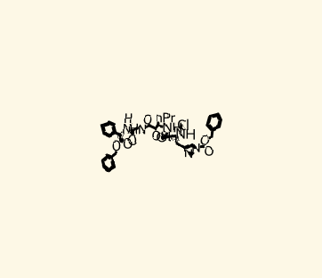 CCCC(NC(=O)[C@H](Cc1cn(C(=O)OCc2ccccc2)cn1)NCl)C(O)C(=O)NCC(=O)N[C@H](C(=O)OCc1ccccc1)c1ccccc1